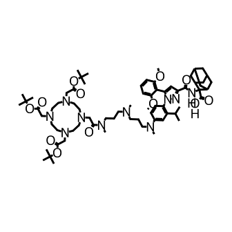 COc1cccc(OC)c1-c1cc(C(=O)NC2(C(=O)O)C3CC4CC(C3)CC2C4)nn1-c1ccc(N(C)CCCN(C)CCCN(C)C(=O)CN2CCN(CC(=O)OC(C)(C)C)CCN(CC(=O)OC(C)(C)C)CCN(CC(=O)OC(C)(C)C)CC2)cc1C(C)C